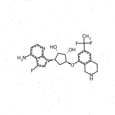 CC(F)(F)c1cc2c(c(O[C@H]3C[C@@H](n4cc(F)c5c(N)ccnc54)[C@H](O)[C@@H]3O)c1)CNCC2